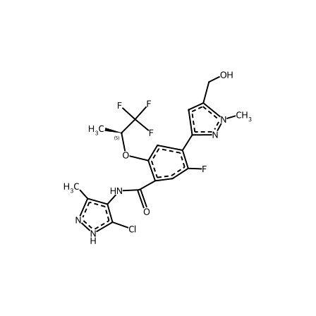 Cc1n[nH]c(Cl)c1NC(=O)c1cc(F)c(-c2cc(CO)n(C)n2)cc1O[C@@H](C)C(F)(F)F